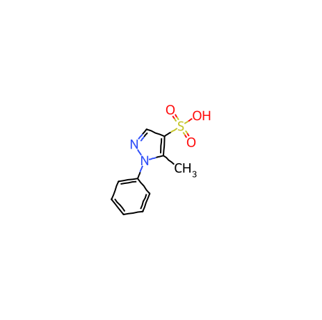 Cc1c(S(=O)(=O)O)cnn1-c1ccccc1